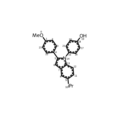 COc1ccc(-c2cc3cc(C(C)C)ccc3n2-c2ccc(O)cc2)cc1